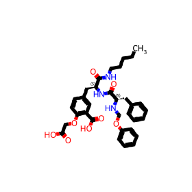 CCCCCNC(=O)[C@H](Cc1ccc(OCC(=O)O)c(C(=O)O)c1)NC(=O)[C@H](Cc1ccccc1)NCOc1ccccc1